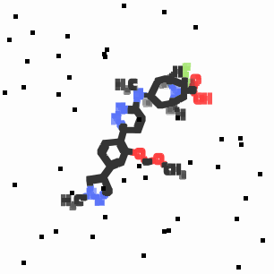 COCOc1cc(-c2cnn(C)c2)ccc1-c1ccc(N(C)[C@H]2C[C@@H]3CC(F)(F)[C@H](C2)N3C(=O)O)nn1